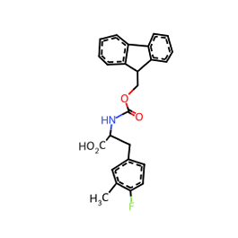 Cc1cc(CC(NC(=O)OCC2c3ccccc3-c3ccccc32)C(=O)O)ccc1F